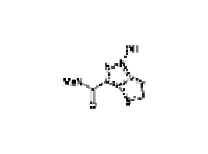 CNC(=O)c1nn(O)c2ccsc12